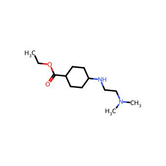 CCOC(=O)C1CCC(NCCN(C)C)CC1